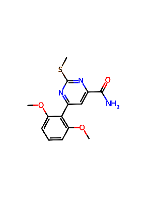 COc1cccc(OC)c1-c1cc(C(N)=O)nc(SC)n1